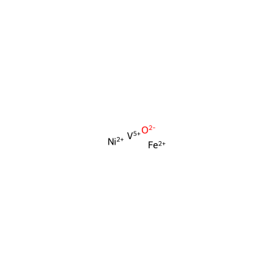 [Fe+2].[Ni+2].[O-2].[V+5]